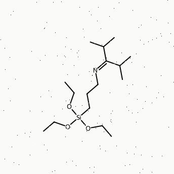 CCO[Si](CCCN=C(C(C)C)C(C)C)(OCC)OCC